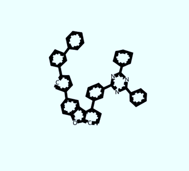 c1ccc(-c2cccc(-c3ccc(-c4ccc5oc6cccc(-c7cccc(-c8nc(-c9ccccc9)nc(-c9ccccc9)n8)c7)c6c5c4)cc3)c2)cc1